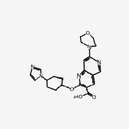 O=C(O)c1cc2cnc(N3CCOCC3)cc2nc1OC1CCC(n2ccnc2)CC1